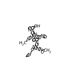 C=CCN1CCN(c2nc(OCC(CN3CCOCC3)Oc3cc(N4CCc5c(nc(OCCCN6CC7CC7C6)nc5N5CCN(C(=O)C=C)CC5)C4)c4ccccc4c3)nc3c2CCN(c2cc(O)cc4cccnc24)C3)CC1